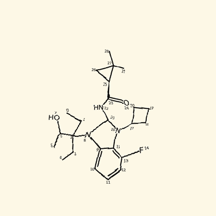 CCC(CC)(C(C)O)N1c2cccc(F)c2N(C2CCC2)C1NC(=O)[C@H]1CC1(C)C